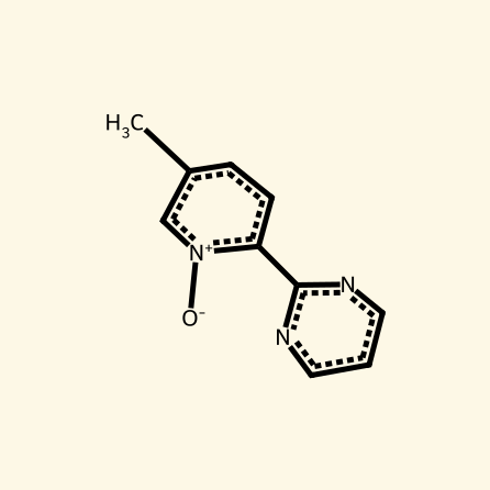 Cc1ccc(-c2ncccn2)[n+]([O-])c1